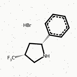 Br.FC(F)(F)[C@H]1CN[C@@H](c2ccccc2)C1